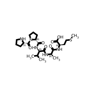 CSCC[C@@H](NC(=O)[C@@H](C)NC(=O)[C@H](NC(=O)[C@H]1CCCN1C(=O)[C@@H]1CCCN1)C(C)C)C(=O)O